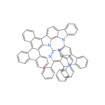 c1ccc(-c2nc(-n3c4c(c5ccccc5c5c6ccccc6c6ccccc6c54)c4ccc5c6ccccc6n(-c6ccc7c(c6)c6ccccc6n7-c6ccccc6)c5c43)nc3ccc4ccccc4c23)cc1